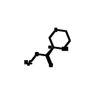 COC(=O)[C@H]1CSCCN1